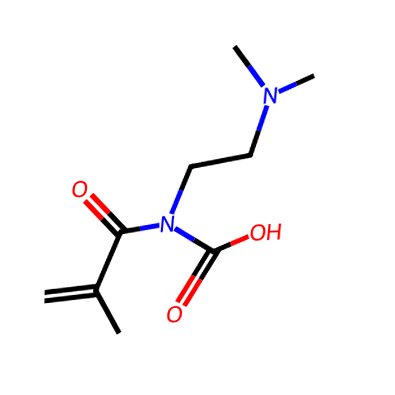 C=C(C)C(=O)N(CCN(C)C)C(=O)O